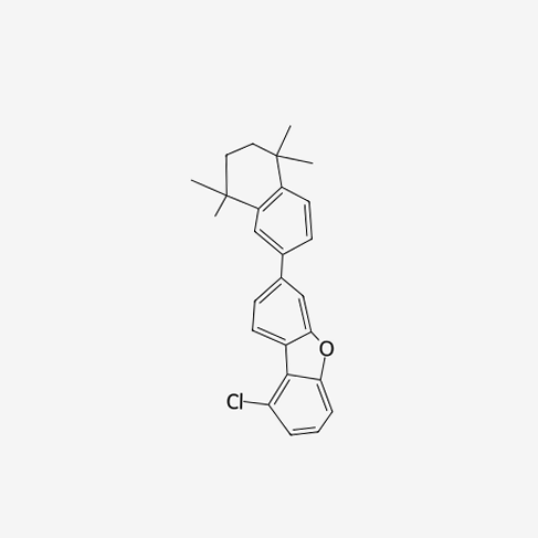 CC1(C)CCC(C)(C)c2cc(-c3ccc4c(c3)oc3cccc(Cl)c34)ccc21